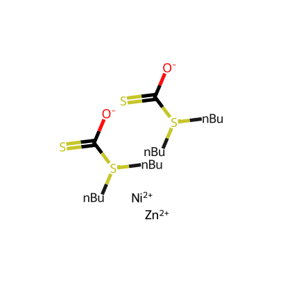 CCCC[S-](CCCC)C([O-])=S.CCCC[S-](CCCC)C([O-])=S.[Ni+2].[Zn+2]